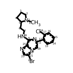 CN1CCCC1CCNc1nc(-c2ccccc2Cl)cn2c(Br)cnc12